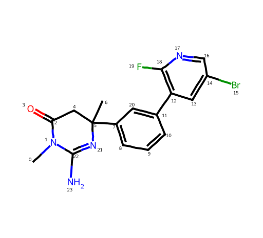 CN1C(=O)CC(C)(c2cccc(-c3cc(Br)cnc3F)c2)N=C1N